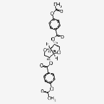 CC(=O)Oc1ccc(C(=O)O[C@@H]2CO[C@H]3[C@@H]2OC[C@H]3OC(=O)c2ccc(OC(C)=O)cc2)cc1